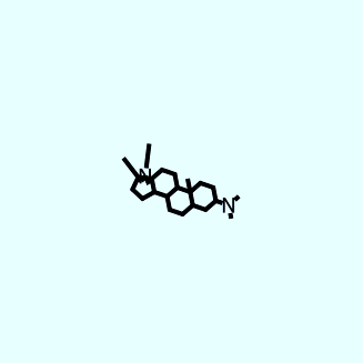 CC1C2CCC3C4CCC5CC(N(C)C)CCC5(C)C4CCC32CN1C